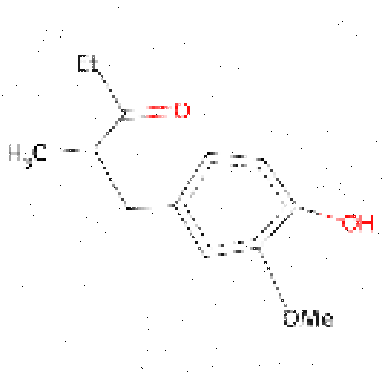 CCC(=O)C(C)Cc1ccc(O)c(OC)c1